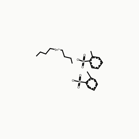 CCC[CH2][Sn+2][CH2]CCC.Cc1ccccc1S(=O)(=O)[O-].Cc1ccccc1S(=O)(=O)[O-]